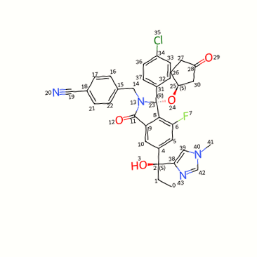 CC[C@](O)(c1cc(F)c2c(c1)C(=O)N(Cc1ccc(C#N)cc1)[C@@]2(O[C@H]1CCC(=O)C1)c1ccc(Cl)cc1)c1cn(C)cn1